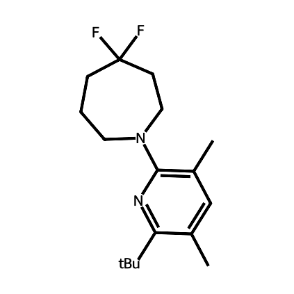 Cc1cc(C)c(C(C)(C)C)nc1N1CCCC(F)(F)CC1